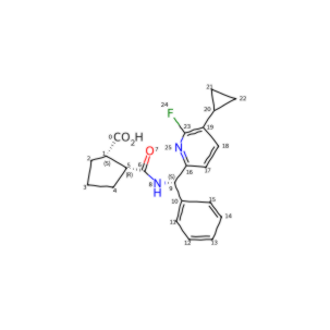 O=C(O)[C@H]1CCC[C@H]1C(=O)N[C@@H](c1ccccc1)c1ccc(C2CC2)c(F)n1